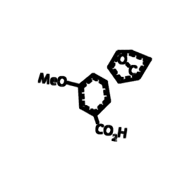 COc1cccc(C(=O)O)c1.c1cc2ccc1CO2